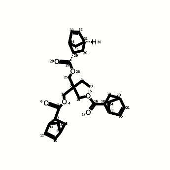 CCC(COC(=O)C1CC2C=CC1C2)(COC(=O)C1CC2C=CC1C2)COC(=O)[C@H]1C[C@@H]2C=CC1C2